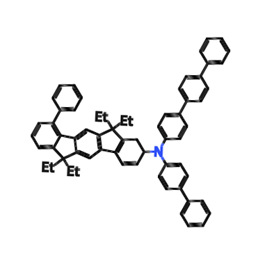 CCC1(CC)C2=C(C=CC(N(c3ccc(-c4ccccc4)cc3)c3ccc(-c4ccc(-c5ccccc5)cc4)cc3)C2)c2cc3c(cc21)-c1c(-c2ccccc2)cccc1C3(CC)CC